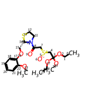 CCOC(C[S+]([O-])CC(=O)N1CCS[C@H]1COc1ccccc1OC)(OC)OCC